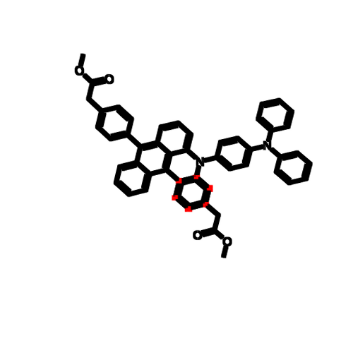 COC(=O)Cc1ccc(-c2c3ccccc3c(-c3ccc(CC(=O)OC)cc3)c3c(N(c4ccccc4)c4ccc(N(c5ccccc5)c5ccccc5)cc4)cccc23)cc1